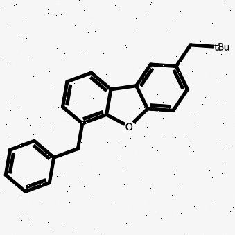 CC(C)(C)Cc1ccc2oc3c(Cc4ccccc4)cccc3c2c1